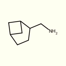 NCC1CCC2CC1C2